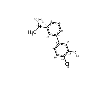 CN(C)c1cc[c]c(-c2ccc(Cl)c(Cl)c2)c1